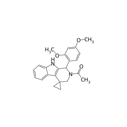 COc1ccc(C2c3[nH]c4ccccc4c3C3(CC3)CN2C(C)=O)c(OC)c1